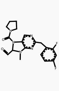 CN1c2nc(Cc3ccc(F)cc3F)ncc2N(C(=O)N2CCCC2)C1C=O